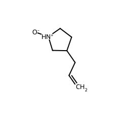 C=CCC1CC[NH+]([O-])C1